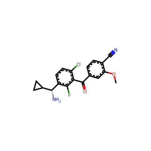 COc1cc(C(=O)c2c(Cl)ccc([C@H](N)C3CC3)c2F)ccc1C#N